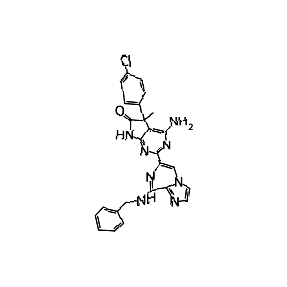 CC1(c2ccc(Cl)cc2)C(=O)Nc2nc(-c3cn4ccnc4c(NCc4ccccc4)n3)nc(N)c21